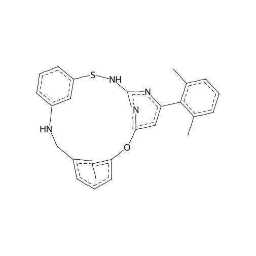 Cc1cccc(C)c1-c1cc2nc(n1)NSc1cccc(c1)NCc1cccc(c1C)O2